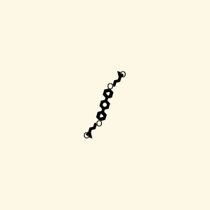 c1cc(C2CCC(c3ccc(OCCCC4CO4)cc3)CC2)ccc1OCCCC1CO1